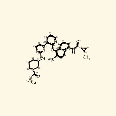 Cc1ccc2c(NC(=O)[C@@H]3C[C@@H]3C)cccc2c1Oc1ncccc1-c1ccnc(N[C@H]2CCCN(C(=O)OC(C)(C)C)C2)n1